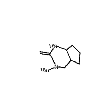 C=C1NC2CCCC2CN1C(C)(C)C